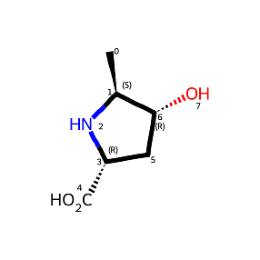 C[C@@H]1N[C@@H](C(=O)O)C[C@H]1O